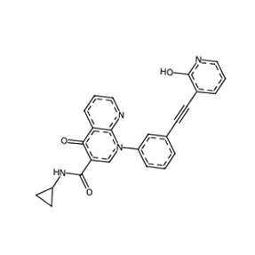 O=C(NC1CC1)c1cn(-c2cccc(C#Cc3cccnc3O)c2)c2ncccc2c1=O